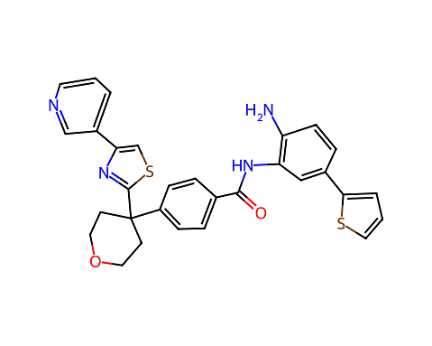 Nc1ccc(-c2cccs2)cc1NC(=O)c1ccc(C2(c3nc(-c4cccnc4)cs3)CCOCC2)cc1